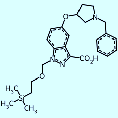 C[Si](C)(C)CCOCn1nc(C(=O)O)c2cc(OC3CCN(Cc4ccccc4)C3)ccc21